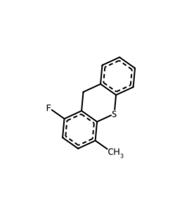 Cc1ccc(F)c2c1Sc1ccccc1C2